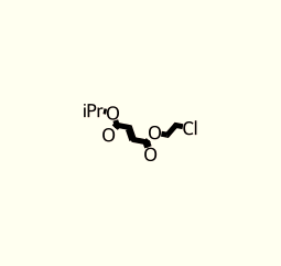 CC(C)OC(=O)C=CC(=O)OCCCl